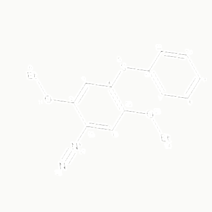 CCOc1cc(Sc2ccccc2)c(OCC)cc1[N+]#N